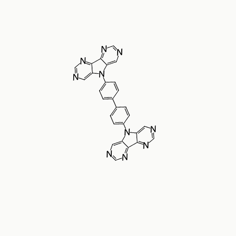 c1ncc2c(n1)c1ncncc1n2-c1ccc(-c2ccc(-n3c4cncnc4c4ncncc43)cc2)cc1